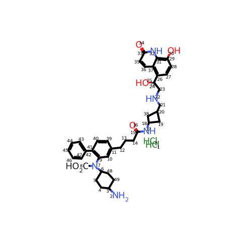 Cl.Cl.NC1CCC(N(C(=O)O)c2cc(CCCC(=O)NC3CC(CNC[C@@H](O)c4ccc(O)c5[nH]c(=O)ccc45)C3)ccc2-c2ccccc2)CC1